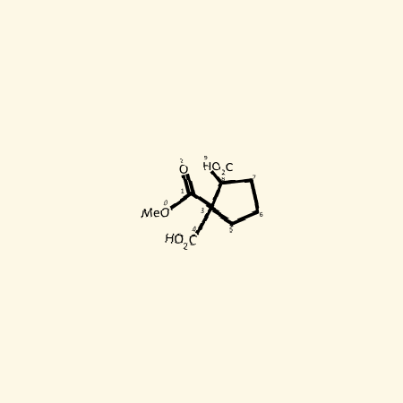 COC(=O)C1(C(=O)O)CCCC1C(=O)O